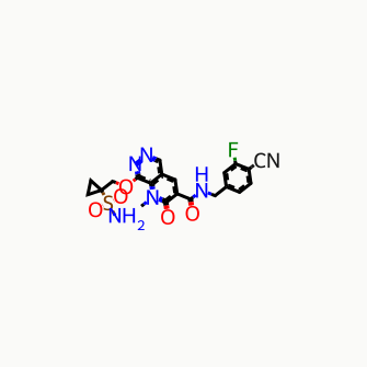 Cn1c(=O)c(C(=O)NCc2ccc(C#N)c(F)c2)cc2cnnc(OCC3(S(N)(=O)=O)CC3)c21